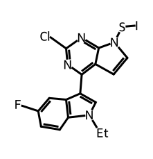 CCn1cc(-c2nc(Cl)nc3c2ccn3SI)c2cc(F)ccc21